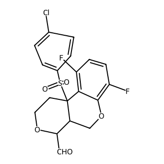 O=CC1OCCC2(S(=O)(=O)c3ccc(Cl)cc3)c3c(F)ccc(F)c3OCC12